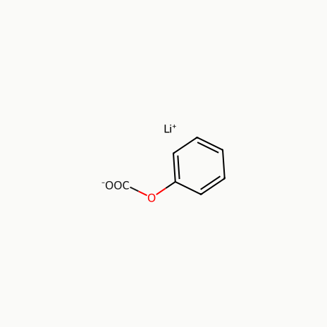 O=C([O-])Oc1ccccc1.[Li+]